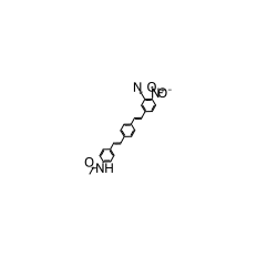 CC(=O)Nc1ccc(C=Cc2ccc(C=Cc3ccc([N+](=O)[O-])c(C#N)c3)cc2)cc1